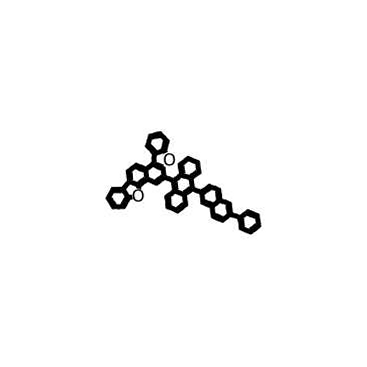 C1=c2c(-c3ccc4cc(-c5ccccc5)ccc4c3)c3ccccc3c(-c3cc4c(ccc5c6ccccc6oc54)c4c3oc3ccccc34)c2=CCC1